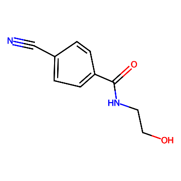 N#Cc1ccc(C(=O)NCCO)cc1